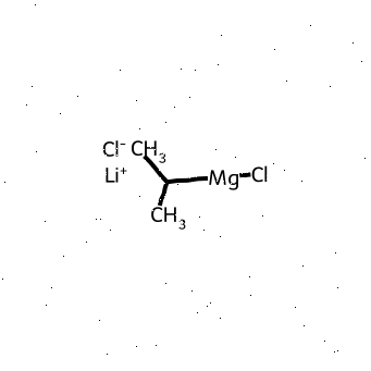 C[CH](C)[Mg][Cl].[Cl-].[Li+]